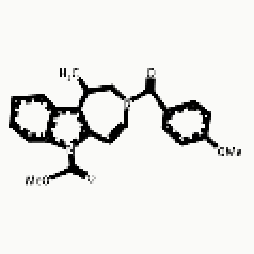 COC(=O)n1c2c(c3ccccc31)C(C)CN(C(=O)c1ccc(OC)cc1)C=C2